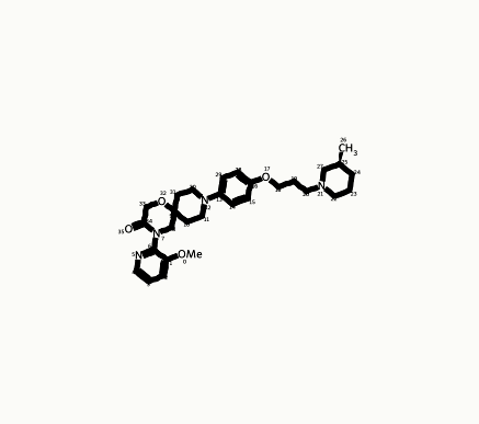 COc1cccnc1N1CC2(CCN(c3ccc(OCCCN4CCC[C@H](C)C4)cc3)CC2)OCC1=O